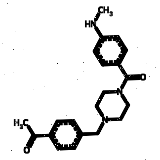 CNc1ccc(C(=O)N2CCN(Cc3ccc(C(C)=O)cc3)CC2)cc1